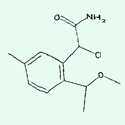 COC(C)c1ccc(C)cc1C(Cl)C(N)=O